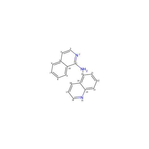 Nc1nccc2ccccc12.c1ccc2ncccc2c1